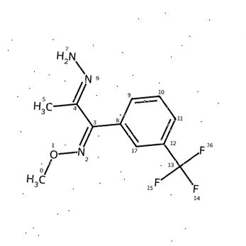 CON=C(C(C)=NN)c1cccc(C(F)(F)F)c1